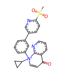 CS(=O)(=O)c1ccc(-c2cccc([N+]3(C4CC4)C=CC(=O)c4cccnc43)c2)cn1